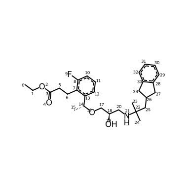 CCOC(=O)CCc1c(F)cccc1[C@@H](C)OC[C@H](O)CNC(C)(C)CC1Cc2ccccc2C1